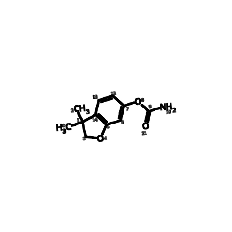 CC1(C)COc2cc(OC(N)=O)ccc21